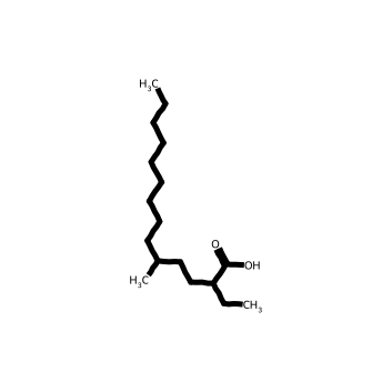 CCCCCCCCCC(C)CCC(CC)C(=O)O